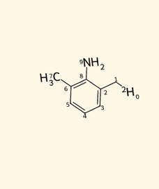 [2H]Cc1cccc(C)c1N